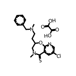 CN(CCC1CN(C)C(=S)c2cc(Cl)cnc2O1)Cc1ccccc1.O=C(O)C(=O)O